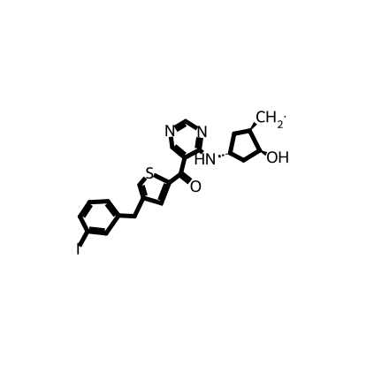 [CH2][C@@H]1C[C@@H](Nc2ncncc2C(=O)c2cc(Cc3cccc(I)c3)cs2)C[C@@H]1O